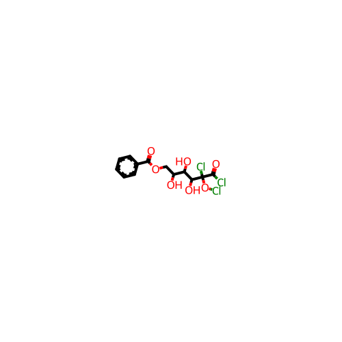 O=C(OCC(O)C(O)C(O)C(Cl)(OCl)C(=O)Cl)c1ccccc1